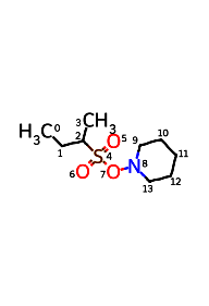 CCC(C)S(=O)(=O)ON1CCCCC1